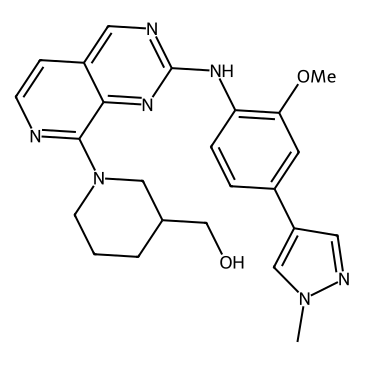 COc1cc(-c2cnn(C)c2)ccc1Nc1ncc2ccnc(N3CCCC(CO)C3)c2n1